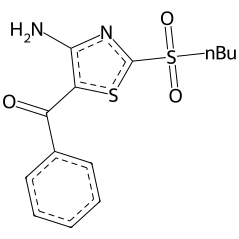 CCCCS(=O)(=O)c1nc(N)c(C(=O)c2ccccc2)s1